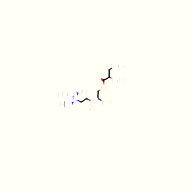 CCCC/C(COC(=O)C(O)CC(=O)[O-])=[P+](\[O-])CC[N+](C)(C)C